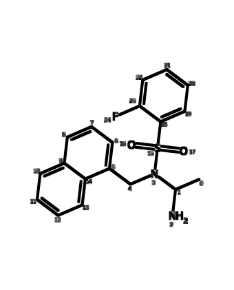 CC(N)N(Cc1cccc2ccccc12)S(=O)(=O)c1ccccc1F